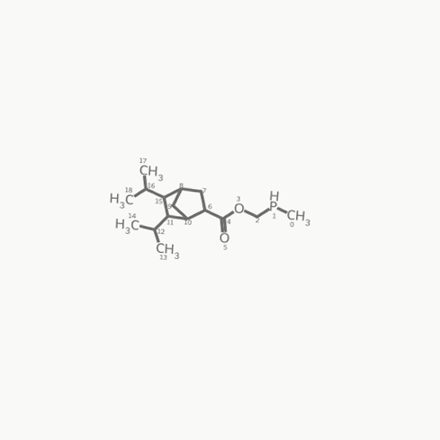 CPCOC(=O)C1CC2CC1C(C(C)C)C2C(C)C